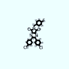 O=C1c2nc(-c3ccc(Cl)cc3)c(-c3ccc(Cl)cc3)nc2C(=O)N1Cc1ccc(F)cc1